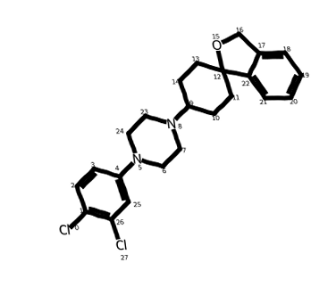 Clc1ccc(N2CCN(C3CCC4(CC3)OCc3ccccc34)CC2)cc1Cl